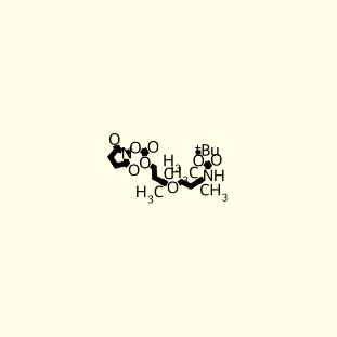 CC(C)(CCOC(C)(C)CCOC(=O)ON1C(=O)CCC1=O)NC(=O)OC(C)(C)C